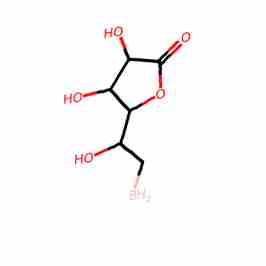 BCC(O)C1OC(=O)C(O)C1O